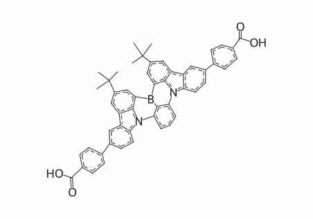 CC(C)(C)c1cc2c3c(c1)c1cc(-c4ccc(C(=O)O)cc4)ccc1n3-c1cccc3c1B2c1cc(C(C)(C)C)cc2c4cc(-c5ccc(C(=O)O)cc5)ccc4n-3c12